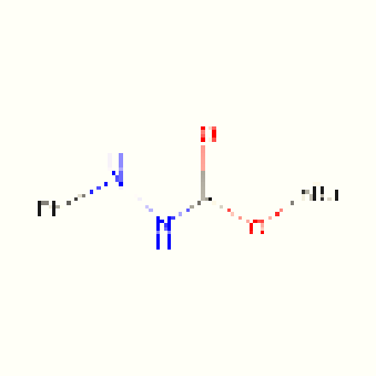 CCCCOC(=O)NNCC